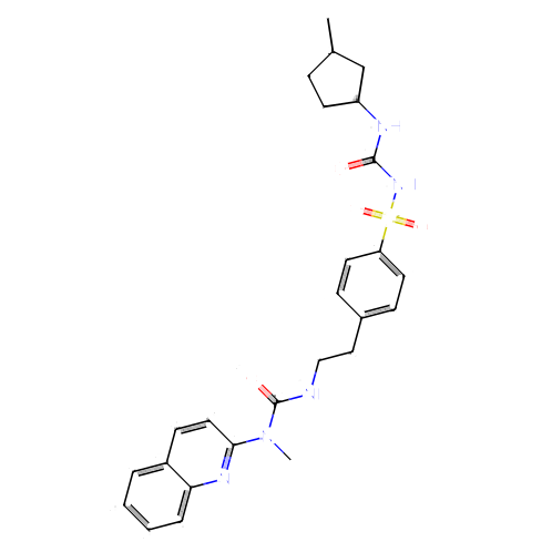 CC1CCC(NC(=O)NS(=O)(=O)c2ccc(CCNC(=O)N(C)c3ccc4ccccc4n3)cc2)C1